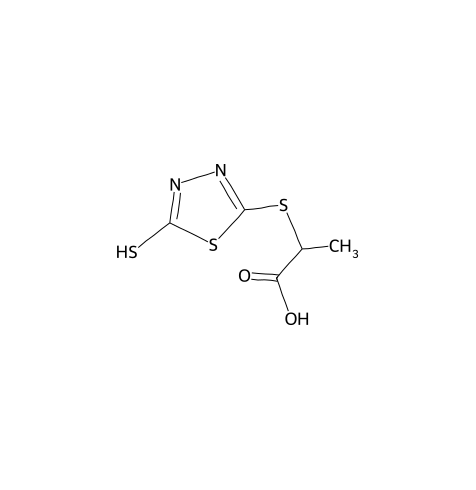 CC(Sc1nnc(S)s1)C(=O)O